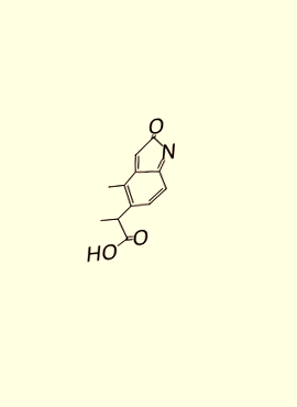 Cc1c(C(C)C(=O)O)ccc2c1=CC(=O)N=2